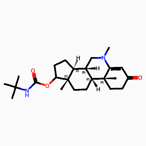 CN1C[C@@H]2[C@@H](CC[C@]3(C)C(OC(=O)NC(C)(C)C)CC[C@@H]23)[C@@]2(C)CCC(=O)C=C12